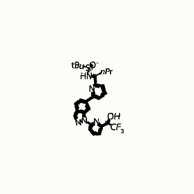 CCC[C@H](N[S@+]([O-])C(C)(C)C)c1cccc(-c2ccc3cnn(-c4cccc([C@@H](O)C(F)(F)F)n4)c3c2)n1